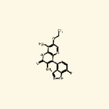 Cc1c(OCC(F)(F)F)cnc2c(-c3ccc(F)c4[nH]ncc34)c(N)c(=O)[nH]c12